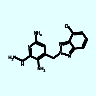 NNc1nc(N)cc(Cn2nc3cccc(Cl)c3n2)c1N